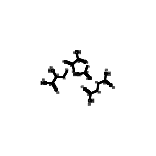 CC(=O)C(=O)O.CC(=O)O.CCC(O)C(=O)O.O=C(O)CCC(=O)O